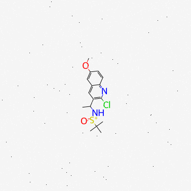 COc1ccc2nc(Cl)c(C(C)N[S@@+]([O-])C(C)(C)C)cc2c1